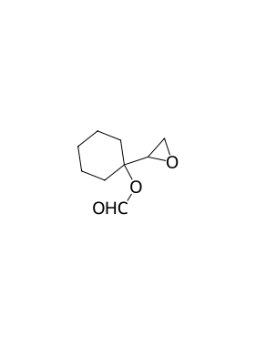 O=COC1(C2CO2)CCCCC1